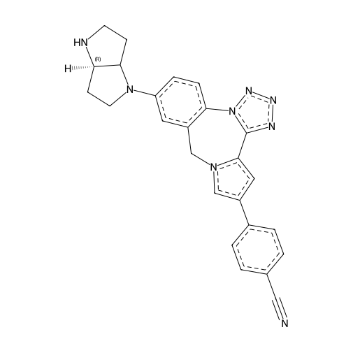 N#Cc1ccc(-c2cc3n(c2)Cc2cc(N4CC[C@H]5NCCC54)ccc2-n2nnnc2-3)cc1